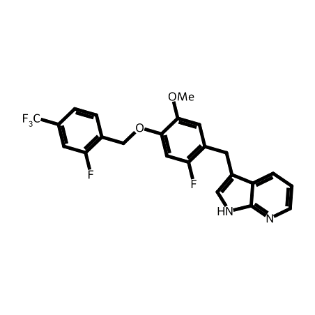 COc1cc(Cc2c[nH]c3ncccc23)c(F)cc1OCc1ccc(C(F)(F)F)cc1F